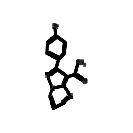 CC(=O)c1c(-c2ccc(Br)cc2)nn2cccnc12